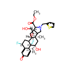 CCOC(=O)C1[C@@H]2C[C@H]3C4C[C@H](F)C5=CC(=O)C=C[C@]5(C)[C@@]4(F)[C@@H](O)C[C@]3(C)[C@]2(C(=O)CO)CN1Cc1cccs1